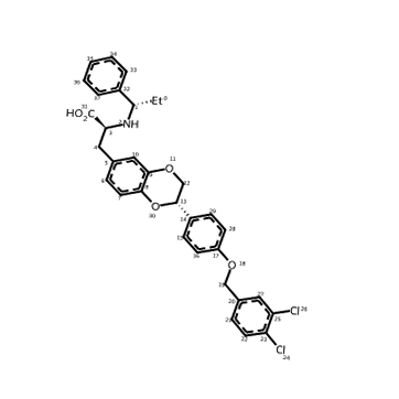 CC[C@H](N[C@@H](Cc1ccc2c(c1)OC[C@H](c1ccc(OCc3ccc(Cl)c(Cl)c3)cc1)O2)C(=O)O)c1ccccc1